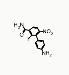 NC(=O)c1ccc([N+](=O)[O-])c(-c2ccc(N)cc2)c1I